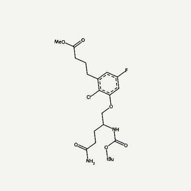 COC(=O)CCCc1cc(F)cc(OCC(CCC(N)=O)NC(=O)OC(C)(C)C)c1Cl